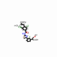 CCOCC(OC)c1cccc(-c2csc(NC(=O)c3cc(Cl)c(C=C(OC)C(=O)O)c(Cl)c3)n2)c1F